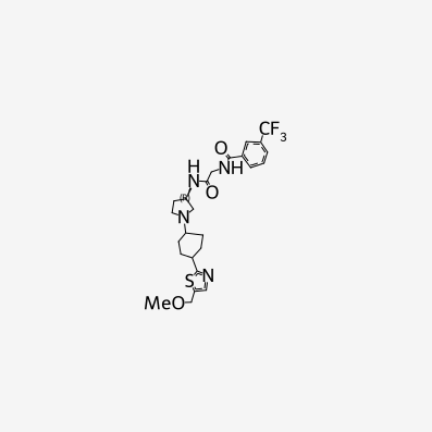 COCc1cnc(C2CCC(N3CC[C@@H](NC(=O)CNC(=O)c4cccc(C(F)(F)F)c4)C3)CC2)s1